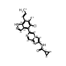 C/C=C/c1c(F)c(Cl)c(-c2cn3cc(NC(=O)C4CC4)nc3cn2)c2cn[nH]c12